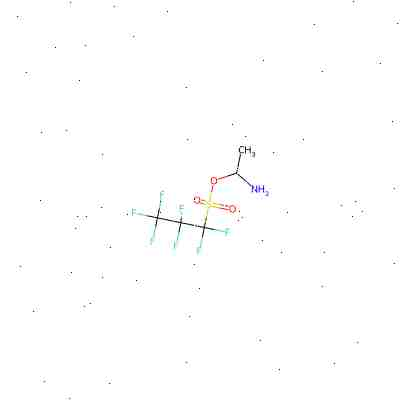 CC(N)OS(=O)(=O)C(F)(F)C(F)(F)C(F)(F)F